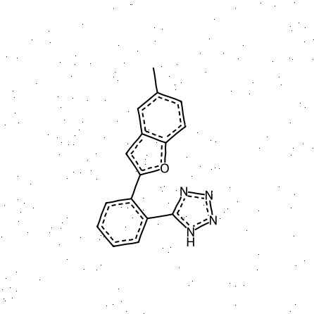 Cc1ccc2oc(-c3ccccc3-c3nnn[nH]3)cc2c1